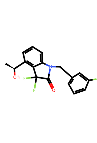 C[C@H](O)c1cccc2c1C(F)(F)C(=O)N2Cc1cccc(F)c1